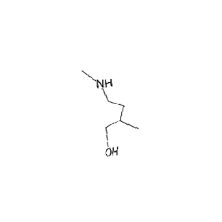 CNCCC(C)CO